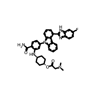 CN(C)CC(=O)O[C@H]1CC[C@H](Nc2cc(-n3c4ccccc4c4c(-c5nc6ccc(F)cc6[nH]5)cccc43)ccc2C(N)=O)CC1